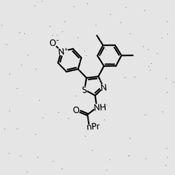 CCCC(=O)Nc1nc(-c2cc(C)cc(C)c2)c(-c2cc[n+]([O-])cc2)s1